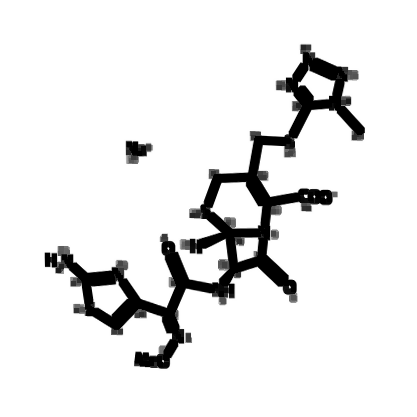 CON=C(C(=O)N[C@@H]1C(=O)N2C(C(=O)[O-])=C(CSc3nnnn3C)CS[C@@H]12)c1csc(N)n1.[Na+]